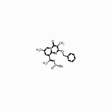 CC(=N[S@+]([O-])C(C)(C)C)c1cc(C)cn2c(=O)c(C)c(OCc3ccccc3)nc12